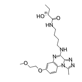 CC[C@@H](O)C(=O)NCCCCNc1nc2cc(OCCOC)ccc2n2c(C)nnc12